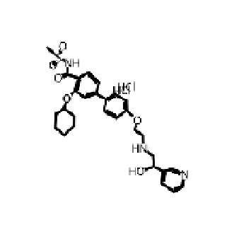 CS(=O)(=O)NC(=O)c1ccc(-c2ccc(OCCNCC(O)c3cccnc3)cc2)cc1OC1CCCCC1.Cl.Cl